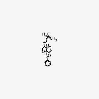 CN(C)CCO[C@@H]1CO[C@H]2[C@@H]1OC[C@@H]2OCc1ccccc1